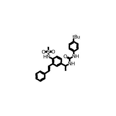 CC(NC(=O)Nc1ccc(C(C)(C)C)cc1)c1ccc(NS(C)(=O)=O)c(C=Cc2ccccc2)c1